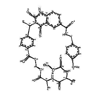 COc1ccc(CNC(=O)c2ccc3[nH]c(=O)n(C(C)c4ccc(C(=O)OCOC(=O)C(NC(=O)C(NC(=O)OC(C)(C)C)C(C)C)C(C)C)cc4)c(=O)c3c2)cc1